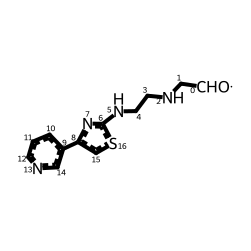 O=[C]CNCCNc1nc(-c2cccnc2)cs1